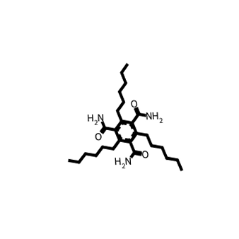 CCCCCCc1c(C(N)=O)c(CCCCCC)c(C(N)=O)c(CCCCCC)c1C(N)=O